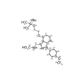 CC(C)(C)[Si](C)(C)OCCOc1ccnc2c1c(CNC(=O)O)nn2-c1ccc(OC(F)(F)F)cc1